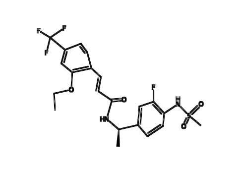 CCOc1cc(C(F)(F)F)ccc1/C=C/C(=O)N[C@H](C)c1ccc(NS(C)(=O)=O)c(F)c1